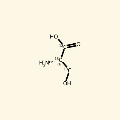 N[13C@@H]([13CH2]O)[13C](=O)O